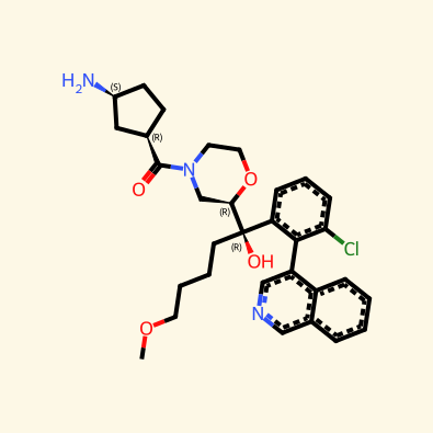 COCCCC[C@@](O)(c1cccc(Cl)c1-c1cncc2ccccc12)[C@H]1CN(C(=O)[C@@H]2CC[C@H](N)C2)CCO1